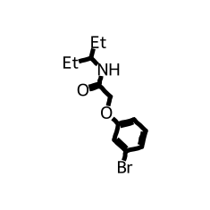 CCC(CC)NC(=O)COc1cccc(Br)c1